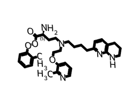 Cc1ccccc1OOC(=O)[C@@H](N)CCN(CCCCc1ccc2c(n1)NCCC2)CCOc1cccnc1C